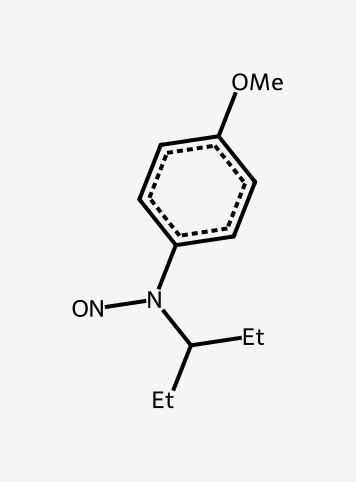 CCC(CC)N(N=O)c1ccc(OC)cc1